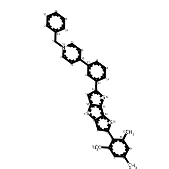 Cc1cc(C)c(-c2cc3sc4cc(-c5cccc(-c6cc[n+](Cc7ccccc7)cc6)c5)sc4c3s2)c(C)c1